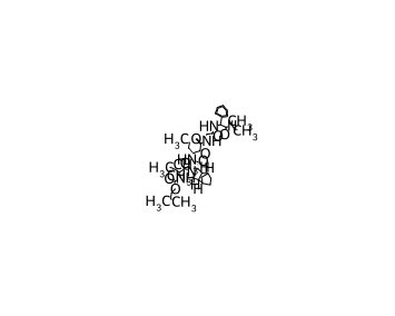 CCC[C@H](NC(=O)[C@@H]1[C@H]2[C@@H]3CC[C@@H](C3)[C@H]2CN1C(=O)[C@@H](NC(=O)OCC(C)C)C(C)(C)C)C(=O)C(=O)NCC(=O)NC(C(=O)N(C)C)c1ccccc1